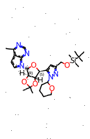 Cc1ncnc2c1ccn2[C@@H]1O[C@@H](c2cc(CO[Si](C)(C)C(C)(C)C)nn2C2CCCCO2)[C@H]2OC(C)(C)O[C@H]21